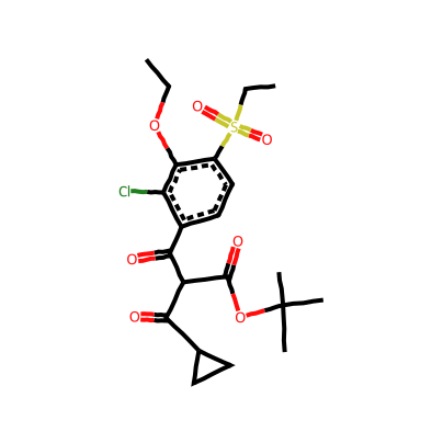 CCOc1c(S(=O)(=O)CC)ccc(C(=O)C(C(=O)OC(C)(C)C)C(=O)C2CC2)c1Cl